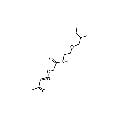 CCC(C)COCCNC(=O)CO/N=C/C(C)=O